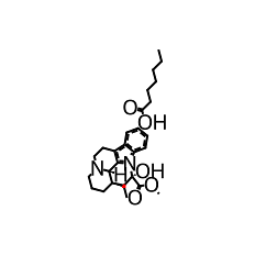 CCCCCCC(=O)O.CC[C@]12CCCN3CCc4c(n(c5ccccc45)[C@@](O)(C(=O)OC)C1)[C@@H]32